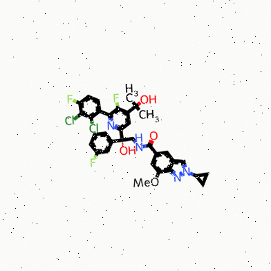 COc1cc(C(=O)NC[C@@](O)(c2cccc(F)c2)c2cc(C(C)(C)O)c(F)c(-c3ccc(F)c(Cl)c3Cl)n2)cc2cn(C3CC3)nc12